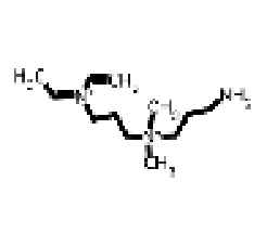 C=C/[N+](=C\C)CCC[N+](C)(C)CCCN